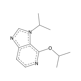 CC(C)Oc1nccc2ncn(C(C)C)c12